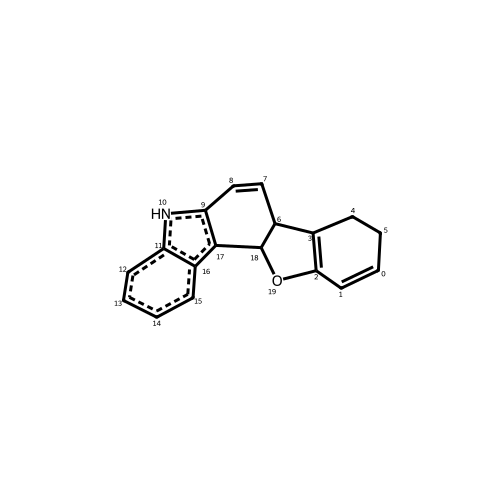 C1=CC2=C(CC1)C1C=Cc3[nH]c4ccccc4c3C1O2